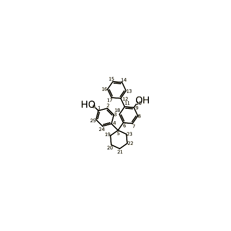 Oc1ccc(C2(c3ccc(O)c(-c4ccccc4)c3)CCCCC2)cc1